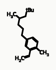 C=Cc1cc(CCCC(C)CC(C)(C)C)ccc1C